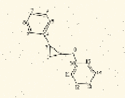 C(=C1CC1c1ccccc1)c1ccccc1